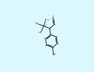 O=CC(c1ccc(Br)cc1)C(F)(F)F